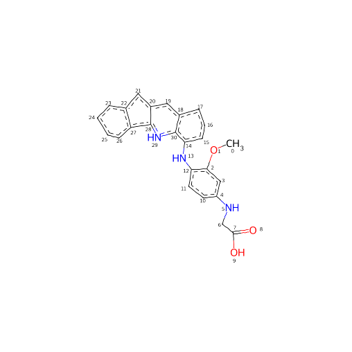 COc1cc(NCC(=O)O)ccc1Nc1cccc2cc3cc4ccccc4c-3[nH]c12